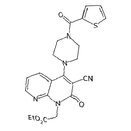 CCOC(=O)Cn1c(=O)c(C#N)c(N2CCN(C(=O)c3cccs3)CC2)c2cccnc21